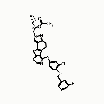 CCNC[C@H](Cn1cc2c(n1)CCc1c-2sc2ncnc(Nc3ccc(OCc4cccc(F)c4)c(Cl)c3)c12)OC(=O)C(F)(F)F